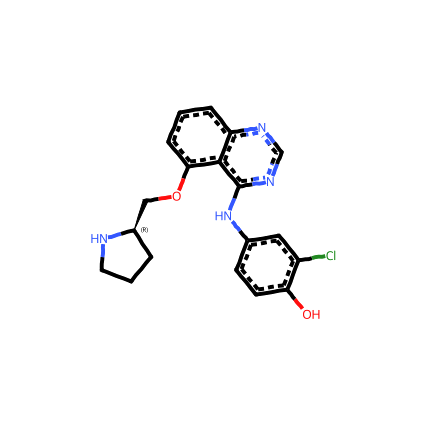 Oc1ccc(Nc2ncnc3cccc(OC[C@H]4CCCN4)c23)cc1Cl